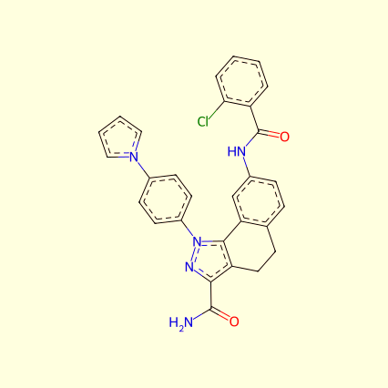 NC(=O)c1nn(-c2ccc(-n3cccc3)cc2)c2c1CCc1ccc(NC(=O)c3ccccc3Cl)cc1-2